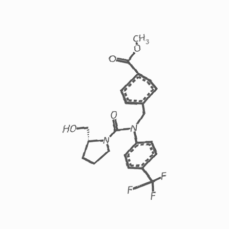 COC(=O)c1ccc(CN(C(=O)N2CCC[C@@H]2CO)c2ccc(C(F)(F)F)cc2)cc1